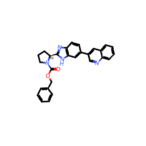 O=C(OCc1ccccc1)N1CCC[C@H]1c1nc2ccc(-c3cnc4ccccc4c3)cc2[nH]1